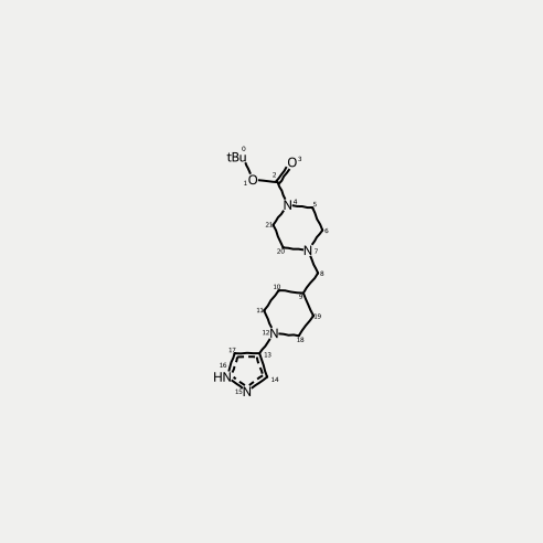 CC(C)(C)OC(=O)N1CCN(CC2CCN(c3cn[nH]c3)CC2)CC1